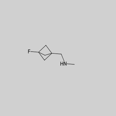 CNCC12CC(F)(C1)C2